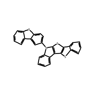 c1ccc2c(c1)sc1ccc(-n3c4ccccc4c4c5sc6ccccc6c5sc43)cc12